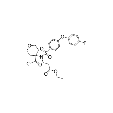 CCOC(=O)CCN(C1(C(=O)Cl)CCOCC1)S(=O)(=O)c1ccc(Oc2ccc(F)cc2)cc1